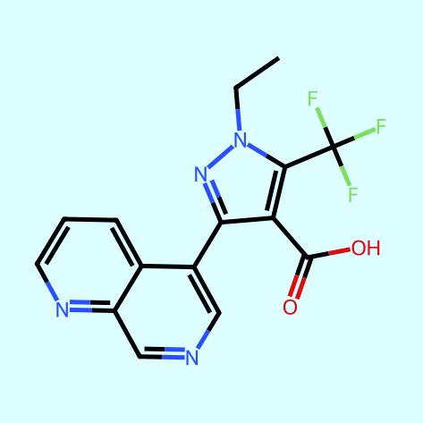 CCn1nc(-c2cncc3ncccc23)c(C(=O)O)c1C(F)(F)F